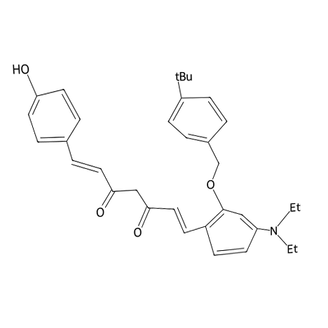 CCN(CC)c1ccc(C=CC(=O)CC(=O)C=Cc2ccc(O)cc2)c(OCc2ccc(C(C)(C)C)cc2)c1